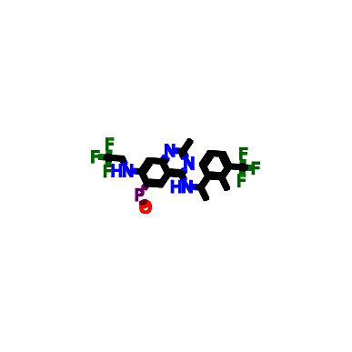 Cc1nc(NC(C)c2cccc(C(F)(F)F)c2C)c2cc(P=O)c(NCC(F)(F)F)cc2n1